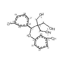 OCC(CO)(CO)C(Oc1cccc(Cl)c1)c1cccc(Cl)c1